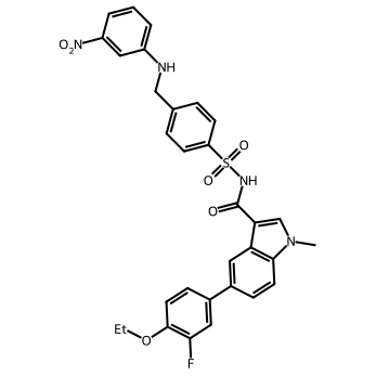 CCOc1ccc(-c2ccc3c(c2)c(C(=O)NS(=O)(=O)c2ccc(CNc4cccc([N+](=O)[O-])c4)cc2)cn3C)cc1F